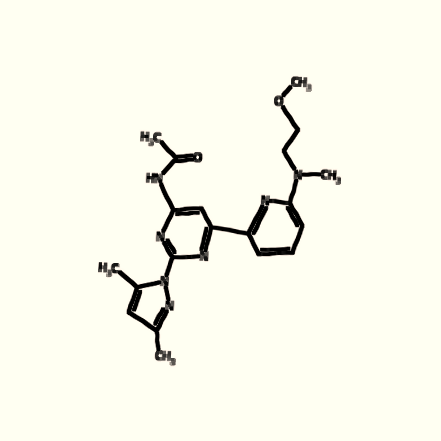 COCCN(C)c1cccc(-c2cc(NC(C)=O)nc(-n3nc(C)cc3C)n2)n1